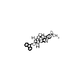 CC(=O)N1CCN(c2ccc(C[C@H](NC(=O)OCC3c4ccccc4-c4ccccc43)C(=O)OC(C)(C)C)cn2)CC1